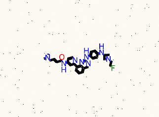 CN(C)C/C=C/C(=O)Nc1ccnc(-c2cccc3cnc(Nc4ccc(NC5CN(CCF)C5)cc4)nc23)c1